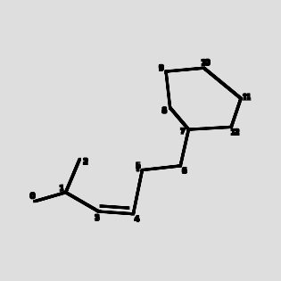 CC(C)/C=C\[CH]CC1CCCCC1